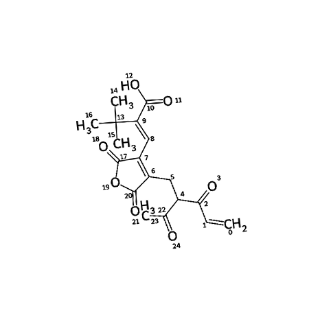 C=CC(=O)C(CC1=C(C=C(C(=O)O)C(C)(C)C)C(=O)OC1=O)C(C)=O